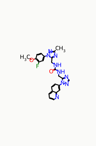 COc1ccc(-n2nc(C)nc2CNC(=O)NCc2ncnn2-c2ccc3cccnc3c2)cc1F